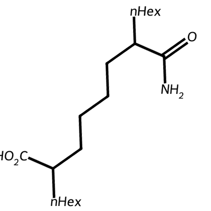 CCCCCCC(CCCCC(CCCCCC)C(=O)O)C(N)=O